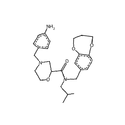 CC(C)CN(Cc1ccc2c(c1)OCCCO2)C(=O)C1CN(Cc2ccc(N)cc2)CCO1